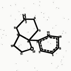 c1ccc(C23CCNCC2CCO3)nc1